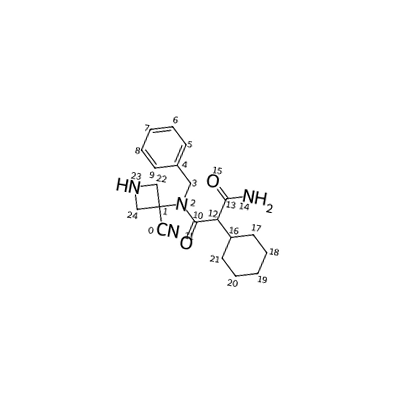 N#CC1(N(Cc2ccccc2)C(=O)C(C(N)=O)C2CCCCC2)CNC1